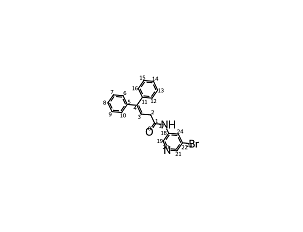 O=C(CC=C(c1ccccc1)c1ccccc1)Nc1cncc(Br)c1